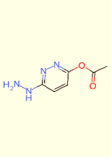 CC(=O)Oc1ccc(NN)nn1